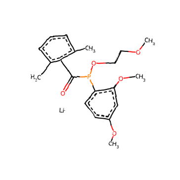 COCCOP(C(=O)c1c(C)cccc1C)c1ccc(OC)cc1OC.[Li]